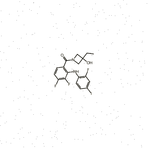 CCC1(O)CN(C(=O)c2ccc(F)c(F)c2Nc2ccc(I)cc2F)C1